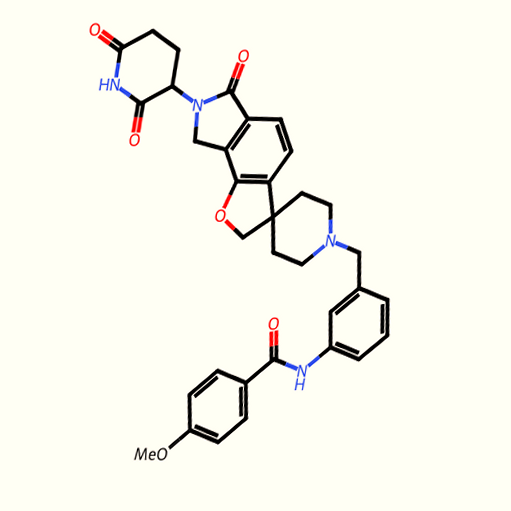 COc1ccc(C(=O)Nc2cccc(CN3CCC4(CC3)COc3c4ccc4c3CN(C3CCC(=O)NC3=O)C4=O)c2)cc1